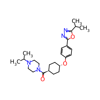 CC(C)c1nnc(-c2ccc(O[C@H]3CC[C@H](C(=O)N4CCN(C(C)C)CC4)CC3)cc2)o1